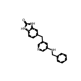 O=c1[nH]c2ccc(Cc3cncc(NCc4ccccc4)c3)cc2[nH]1